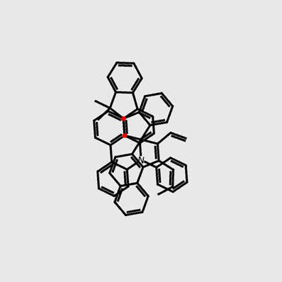 C=CC1=C(/C=C\C)c2c(ccc3ccccc23)C12c1ccccc1-c1cccc(-c3ccccc3N(c3ccccc3)c3ccc4c(c3)C(C)(C)c3ccccc3-4)c12